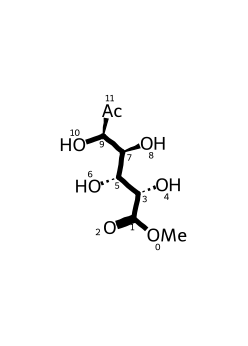 COC(=O)[C@@H](O)[C@H](O)[C@H](O)[C@@H](O)C(C)=O